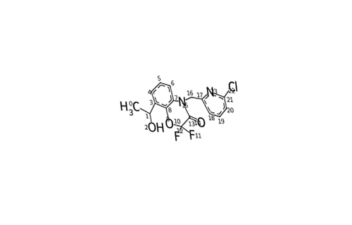 CC(O)c1cccc2c1OC(F)(F)C(=O)N2Cc1cccc(Cl)n1